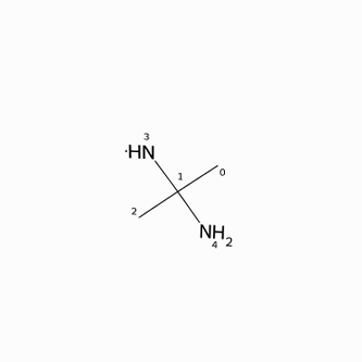 CC(C)([NH])N